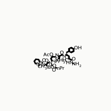 CCCC(=O)OCN(C(=O)C(NC(=O)[C@H]1CCCCN1C)C(C)CC)[C@H](C[C@@H](OC(C)=O)c1nc(C(=O)N[C@@H](Cc2ccc(O)cc2)C[C@H](C)C(=O)NN)cs1)C(C)C